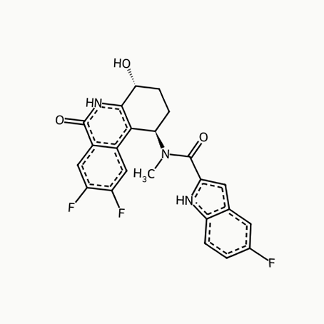 CN(C(=O)c1cc2cc(F)ccc2[nH]1)[C@@H]1CC[C@@H](O)c2[nH]c(=O)c3cc(F)c(F)cc3c21